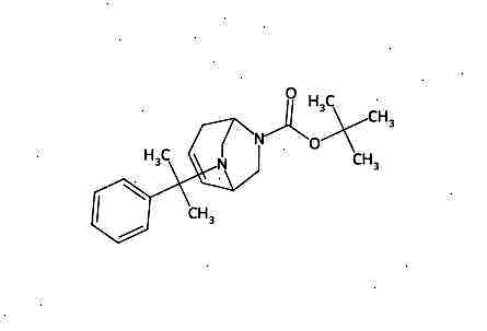 CC(C)(C)OC(=O)N1CC2C=CCC1CN2C(C)(C)c1ccccc1